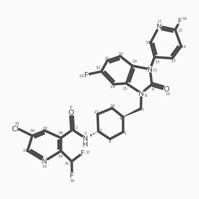 O=C(N[C@H]1CC[C@H](Cn2c(=O)n(-c3ccc(F)nc3)c3ccc(F)cc32)CC1)c1cc(Cl)cnc1C(F)F